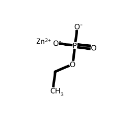 CCOP(=O)([O-])[O-].[Zn+2]